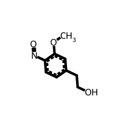 COc1cc(CCO)ccc1N=O